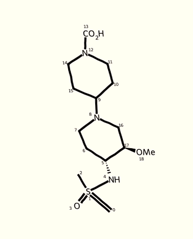 C=S(C)(=O)N[C@@H]1CCN(C2CCN(C(=O)O)CC2)C[C@H]1OC